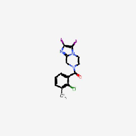 O=C(c1cccc(C(F)(F)F)c1Cl)N1CCn2c(nc(I)c2I)C1